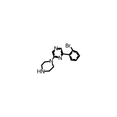 Brc1ccccc1-c1cncc(N2CCNCC2)n1